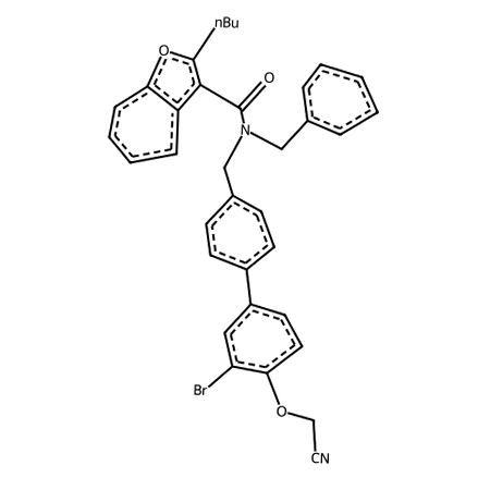 CCCCc1oc2ccccc2c1C(=O)N(Cc1ccccc1)Cc1ccc(-c2ccc(OCC#N)c(Br)c2)cc1